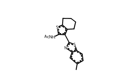 CC(=O)Nc1sc2c(c1-c1nc3cc(C)ccc3s1)CCCC2